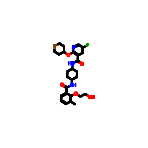 Cc1cccc(C(=O)NC2CCC(NC(=O)c3cc(F)cnc3OC3CCSCC3)CC2)c1OCCO